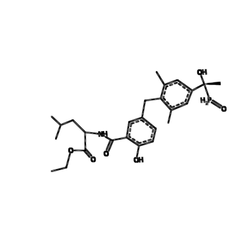 CCOC(=O)C(CC(C)C)NC(=O)c1cc(Cc2c(C)cc([C@](C)(O)[PH2]=O)cc2C)ccc1O